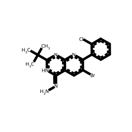 CC(C)(C)c1nc2nc(-c3ccccc3Cl)c(Br)cc2/c(=N/N)[nH]1